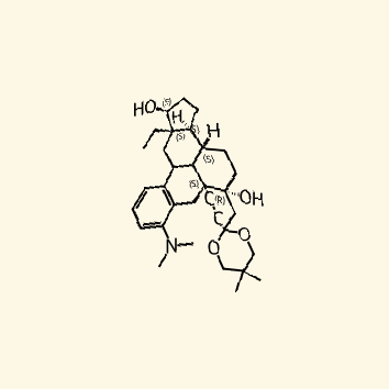 CC[C@]12CC3c4cccc(N(C)C)c4C[C@]45CCC6(C[C@]4(O)CC[C@H](C35)[C@@H]1CC[C@@H]2O)OCC(C)(C)CO6